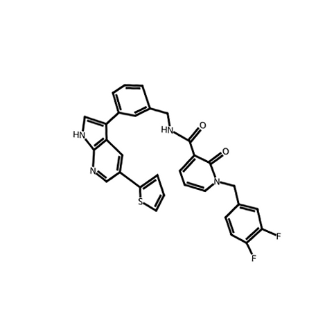 O=C(NCc1cccc(-c2c[nH]c3ncc(-c4cccs4)cc23)c1)c1cccn(Cc2ccc(F)c(F)c2)c1=O